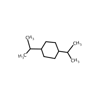 CC(C)C1CCC(C(C)C)CC1